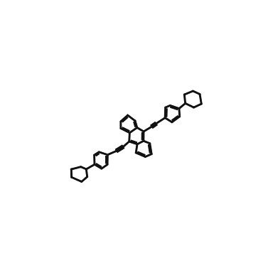 C(#Cc1c2ccccc2c(C#Cc2ccc(C3CCCCC3)cc2)c2ccccc12)c1ccc(C2CCCCC2)cc1